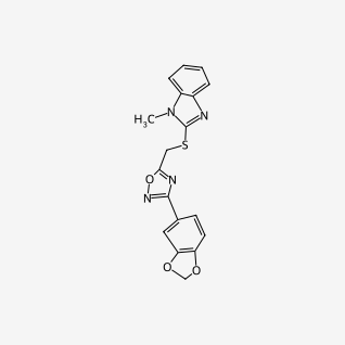 Cn1c(SCc2nc(-c3ccc4c(c3)OCO4)no2)nc2ccccc21